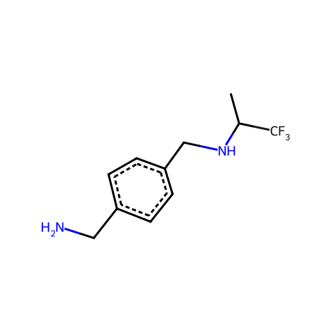 CC(NCc1ccc(CN)cc1)C(F)(F)F